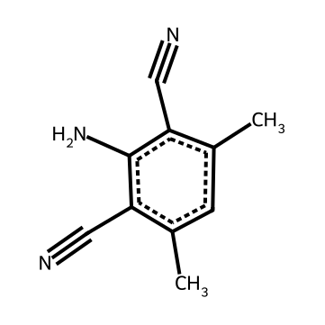 Cc1cc(C)c(C#N)c(N)c1C#N